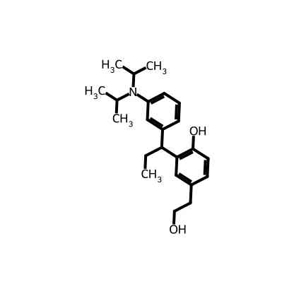 CCC(c1cccc(N(C(C)C)C(C)C)c1)c1cc(CCO)ccc1O